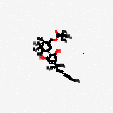 CCCCCCC(C)(C)c1cc(O)c([C@H]2C=C(COC(=O)C(C)(C)C)[C@@H](C)C(C)(C)[C@H]2C)c(O)c1